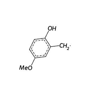 [CH2]c1cc(OC)ccc1O